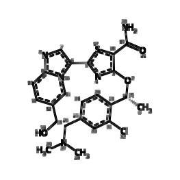 C[C@@H](Oc1nc(-c2cnc3ccc(CO)cn23)sc1C(N)=O)c1ccc(CN(C)C)cc1Cl